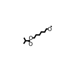 COCCCCCCOC(=O)C(C)C